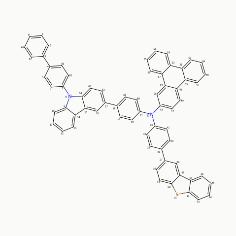 c1ccc(-c2ccc(-n3c4ccccc4c4cc(-c5ccc(N(c6ccc(-c7ccc8sc9ccccc9c8c7)cc6)c6ccc7c8ccccc8c8ccccc8c7c6)cc5)ccc43)cc2)cc1